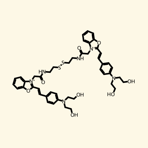 O=C(C[n+]1c(/C=C/c2ccc(N(CCO)CCO)cc2)oc2ccccc21)NCCSSCCNC(=O)C[n+]1c(/C=C/c2ccc(N(CCO)CCO)cc2)oc2ccccc21